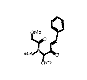 CNN(C(=O)COC)C([C]=O)C(=O)C=Cc1ccccc1